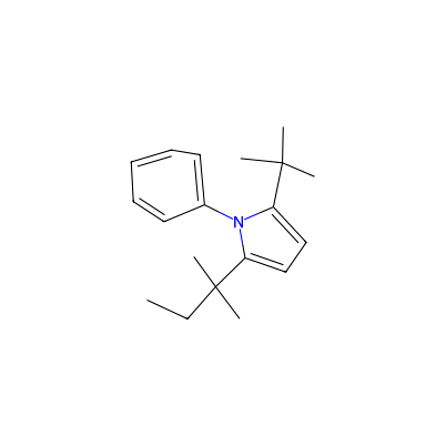 CCC(C)(C)c1ccc(C(C)(C)C)n1-c1ccccc1